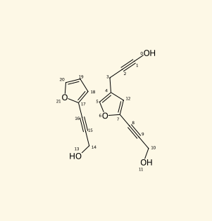 OC#CCc1coc(C#CCO)c1.OCC#Cc1ccco1